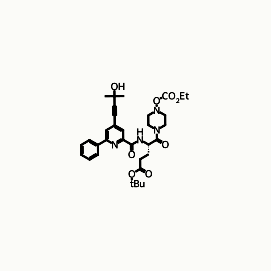 CCOC(=O)ON1CCN(C(=O)[C@H](CCC(=O)OC(C)(C)C)NC(=O)c2cc(C#CC(C)(C)O)cc(-c3ccccc3)n2)CC1